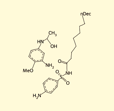 CCCCCCCCCCCCCCCCCC(=O)NS(=O)(=O)c1ccc(N)cc1.COc1ccc(NC(C)O)cc1N